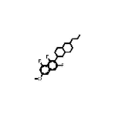 CCCC1CCC2CC(c3c(F)cc4cc(OC)cc(F)c4c3F)CCC2C1